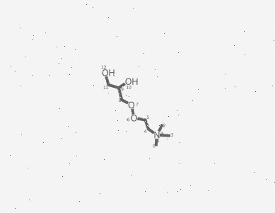 C[N+](C)(C)CCOOCC(O)CO